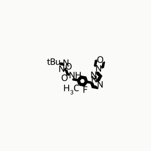 Cc1c(CNC(=O)c2nc(C(C)(C)C)no2)ccc(-c2ccnc3cc(N4CCOCC4)nn23)c1F